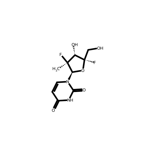 C[C@@]1(F)[C@H](n2ccc(=O)[nH]c2=O)O[C@](F)(CO)[C@H]1O